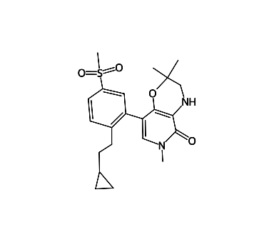 Cn1cc(-c2cc(S(C)(=O)=O)ccc2CCC2CC2)c2c(c1=O)NCC(C)(C)O2